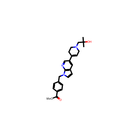 COC(=O)c1ccc(Cn2ccc3cc(C4=CCN(CC(C)(C)O)CC4)cnc32)cc1